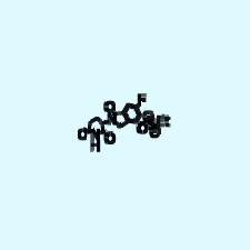 CCS(=O)(=O)Oc1cc2c(cc1F)C(=O)N(C1CCC(=O)NC1=O)C2